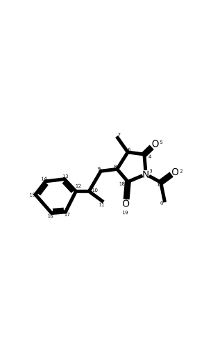 CC(=O)N1C(=O)C(C)C(CC(C)c2ccccc2)C1=O